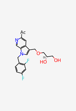 CC(=O)c1cc2c(COC[C@@H](O)CO)cn(Cc3ccc(F)cc3F)c2cn1